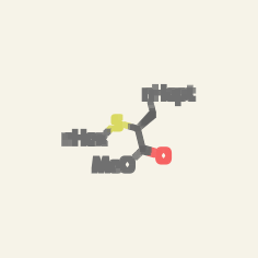 CCCCCCCC[C@H](SCCCCCC)C(=O)OC